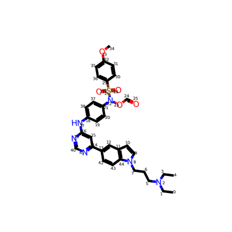 CCN(CC)CCCn1ccc2cc(-c3cc(Nc4ccc(N(OC=O)S(=O)(=O)c5ccc(OC)cc5)cc4)ncn3)ccc21